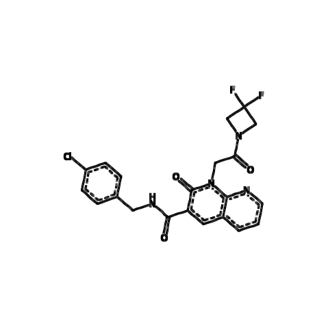 O=C(NCc1ccc(Cl)cc1)c1cc2cccnc2n(CC(=O)N2CC(F)(F)C2)c1=O